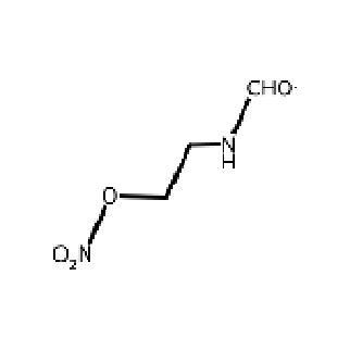 O=[C]NCCO[N+](=O)[O-]